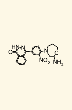 NC1CCCCN(c2ccc(-c3n[nH]c(=O)c4ccccc34)cc2[N+](=O)[O-])C1